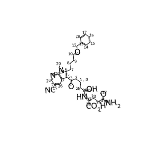 C[C@@H](CC(=O)c1c(CCCCOCc2ccccc2)n(C)c2ncc(C#N)cc12)CC(O)N[C@@H](CCC(N)=O)C(=O)O